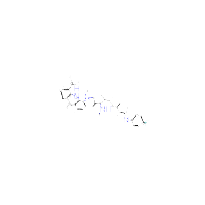 C=C(/C=C(\C)Nc1ccc(F)cc1)CCC(C)C(NC)C(=C)CN(C)c1ccccc1Nc1c(C(C)C)cccc1C(C)C